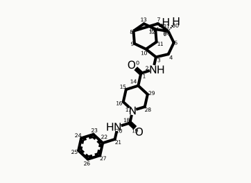 O=C(NC1CC[C@@H]2CC3CC1C[C@H]2C3)C1CCN(C(=O)NCc2ccccc2)CC1